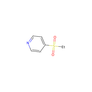 CCS(=O)(=O)c1[c]cncc1